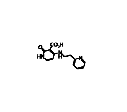 O=C(O)c1c(NCCc2ccccn2)cc[nH]c1=O